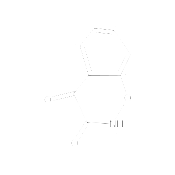 O=c1[nH]oc2ccccc2c1=O